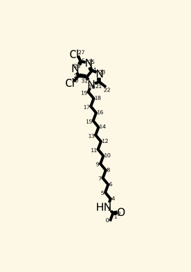 CC(=O)NCCCCCCCCCCCCCCCCn1c(C)nc2nc(Cl)nc(Cl)c21